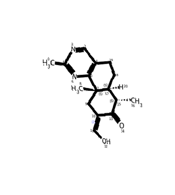 Cc1ncc2c(n1)[C@@]1(C)C/C(=C/O)C(=O)[C@@H](C)[C@@H]1CC2